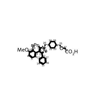 CCCc1c(-c2cccc(OC)c2F)c(-c2ccccc2)nn1C[C@H]1CC[C@@H](COCC(=O)O)CC1